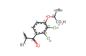 C=C(CC)C(=O)c1ccc(OC(CCCC)C(=O)O)c(Cl)c1Cl